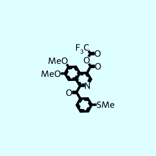 COc1cc2c(C(=O)OC(=O)C(F)(F)F)cnc(C(=O)c3cccc(SC)c3)c2cc1OC